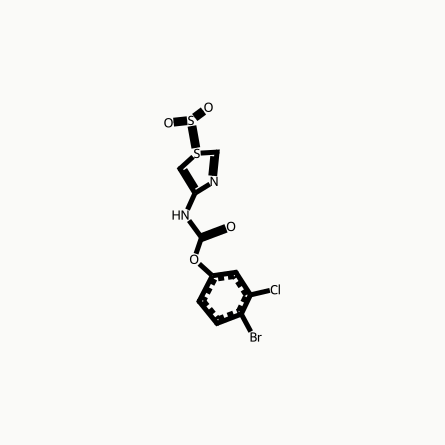 O=C(NC1=CS(=S(=O)=O)C=N1)Oc1ccc(Br)c(Cl)c1